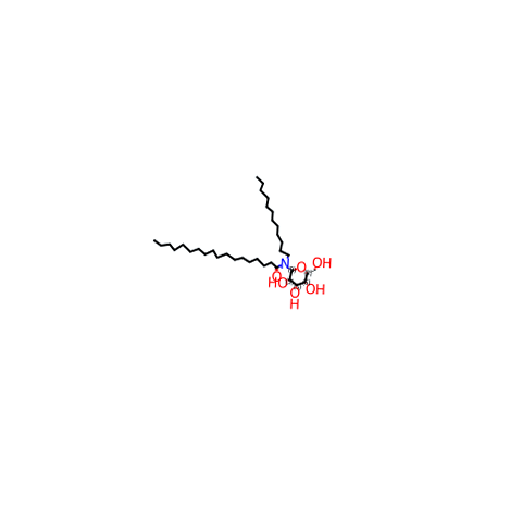 CCCCCCCCCCCCCCCCCC(=O)N(CCCCCCCCCCCC)[C@@H]1O[C@H](CO)[C@@H](O)[C@H](O)[C@@H]1O